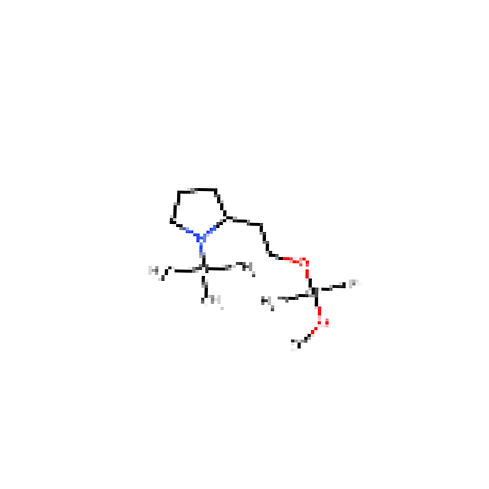 CCC[Si](C)(OCC)OCCC1CCCN1[Si](C)(C)C